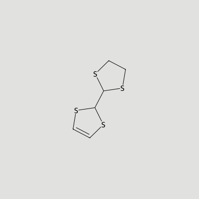 C1=CSC(C2SCCS2)S1